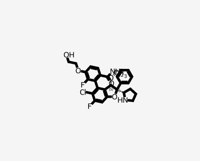 CO[C@H]1c2c(cc(F)c(Cl)c2-c2c(C(N)=O)ccc(OCCO)c2F)O[C@@]1(c1ccccc1)C1CCCN1